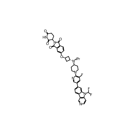 CC(C)N(C1CCN(c2ncc(-c3ccc4c5cnccc5n(C(F)F)c4c3)cc2F)CC1)[C@H]1C[C@H](Oc2ccc3c(c2)C(=O)N(C2CCC(=O)NC2=O)C3=O)C1